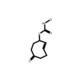 CCNC(=O)OC1/C=C/CCC(=O)CC1